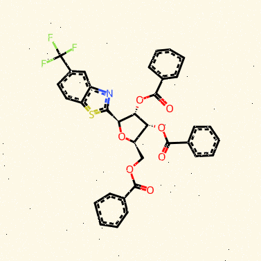 O=C(OC[C@H]1O[C@@H](c2nc3cc(C(F)(F)F)ccc3s2)[C@H](OC(=O)c2ccccc2)[C@@H]1OC(=O)c1ccccc1)c1ccccc1